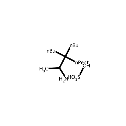 CCCCCC(CCCC)(CCCC)C(C)N.O=S(=O)(O)O